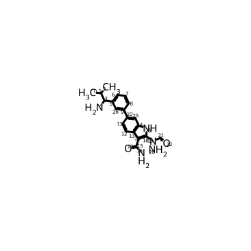 CC(C)C(N)c1cccc(-c2ccc3c(C(N)=O)c(N(N)C=O)[nH]c3c2)c1